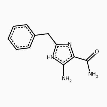 NC(=O)c1nc(Cc2ccccc2)[nH]c1N